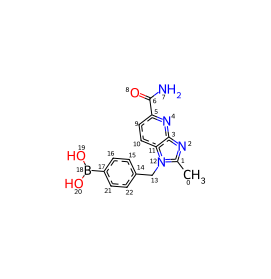 Cc1nc2nc(C(N)=O)ccc2n1Cc1ccc(B(O)O)cc1